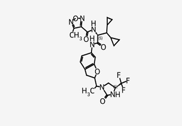 Cc1nonc1C(=O)N[C@H](C(=O)Nc1ccc2c(c1)OC(C(C)N1C[C@@H](C(F)(F)F)NC1=O)C2)C(C1CC1)C1CC1